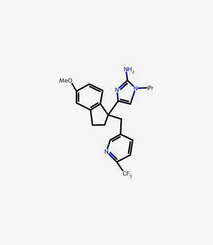 COc1ccc2c(c1)CCC2(Cc1ccc(C(F)(F)F)nc1)c1cn(C(C)C)c(N)n1